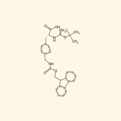 CC(C)(C)OC(=O)N[C@H](Cc1ccc(CNC(=O)OCC2c3ccccc3-c3ccccc32)cc1)C(=O)O